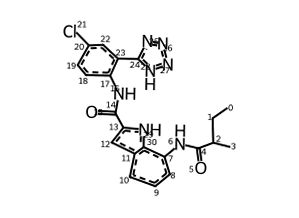 CCC(C)C(=O)Nc1cccc2cc(C(=O)Nc3ccc(Cl)cc3-c3nnn[nH]3)[nH]c12